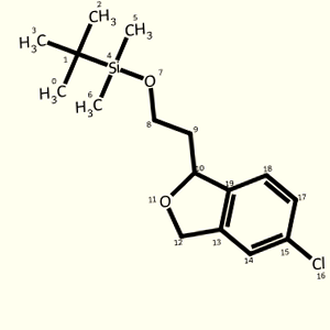 CC(C)(C)[Si](C)(C)OCCC1OCc2cc(Cl)ccc21